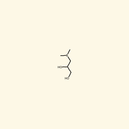 CB(C)CC(O)CO